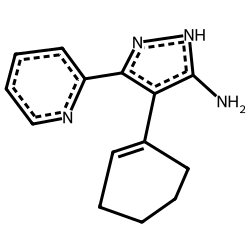 Nc1[nH]nc(-c2ccccn2)c1C1=CCCCC1